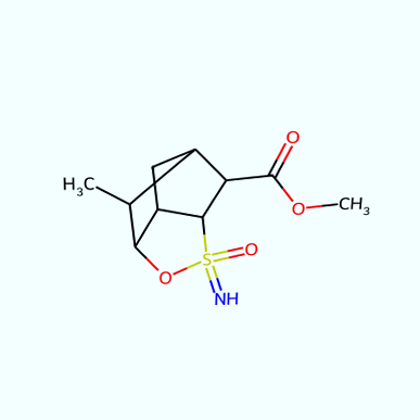 COC(=O)C1C2CC3C(OS(=N)(=O)C31)C2C